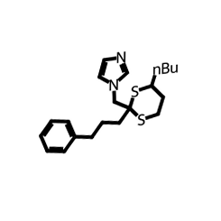 CCCCC1CCSC(CCCc2ccccc2)(Cn2ccnc2)S1